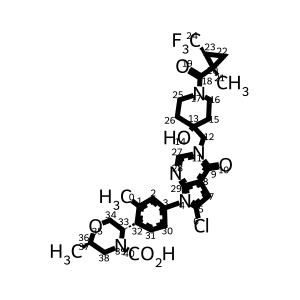 Cc1cc(-n2c(Cl)cc3c(=O)n(CC4(O)CCN(C(=O)[C@@]5(C)C[C@@H]5C(F)(F)F)CC4)cnc32)ccc1[C@H]1CO[C@H](C)CN1C(=O)O